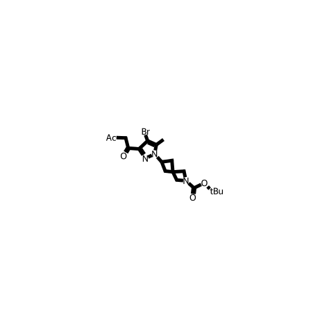 CC(=O)CC(=O)c1nn(C2CC3(C2)CN(C(=O)OC(C)(C)C)C3)c(C)c1Br